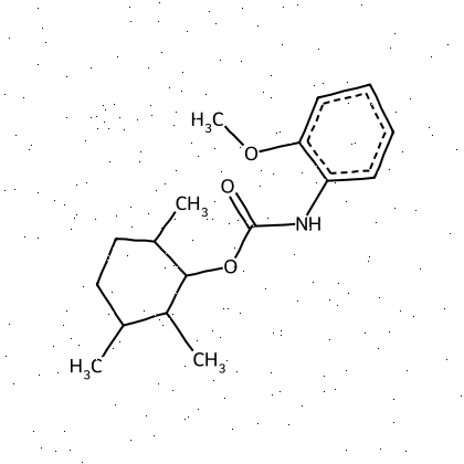 COc1ccccc1NC(=O)OC1C(C)CCC(C)C1C